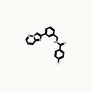 O=C(NCc1cccc(-c2cn3ncccc3n2)c1)c1ccc(I)cc1